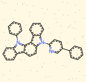 c1ccc(-c2ccc(-n3c4ccccc4c4c3ccc3c5ccccc5n(-c5ccccc5)c34)nc2)cc1